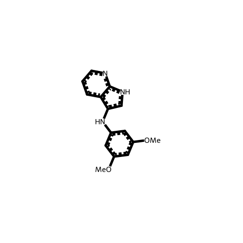 COc1cc(Nc2c[nH]c3ncccc23)cc(OC)c1